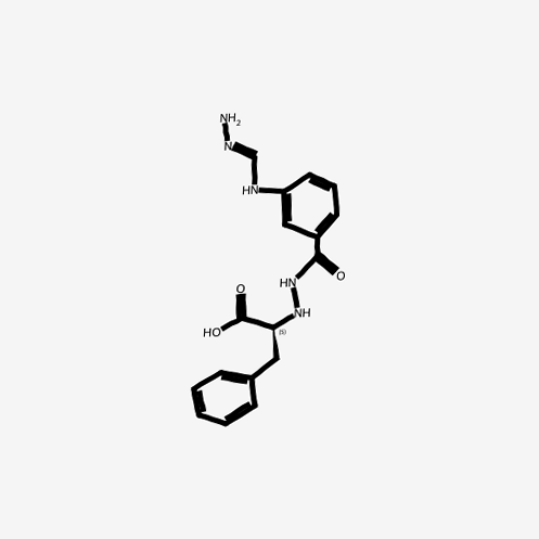 NN=CNc1cccc(C(=O)NN[C@@H](Cc2ccccc2)C(=O)O)c1